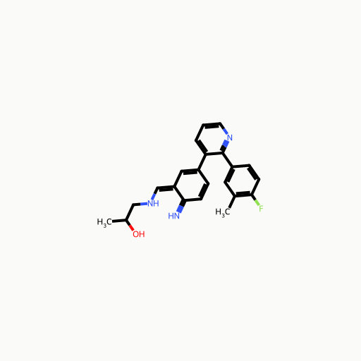 Cc1cc(-c2ncccc2C2=C/C(=C/NCC(C)O)C(=N)C=C2)ccc1F